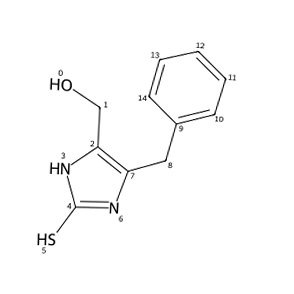 OCc1[nH]c(S)nc1Cc1ccccc1